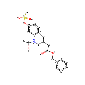 CC(=O)NCC(CC(=O)OCc1ccccc1)Cc1ccc(OS(C)(=O)=O)cc1